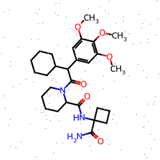 COc1cc(C(C(=O)N2CCCCC2C(=O)NC2(C(N)=O)CCC2)C2CCCCC2)cc(OC)c1OC